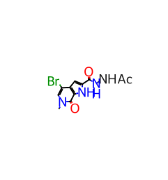 CC(=O)NNC(=O)c1cc2c(Br)cn(C)c(=O)c2[nH]1